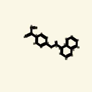 COC(=O)c1ccc(CNc2cncc3ccccc23)cc1